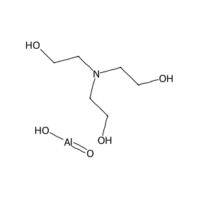 OCCN(CCO)CCO.[O]=[Al][OH]